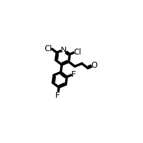 O=CCCc1c(-c2ccc(F)cc2F)cc(Cl)nc1Cl